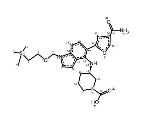 C[Si](C)(C)CCOCn1ccc2c(N[C@@H]3CCCN(C(=O)O)C3)c(-c3nc(C(N)=O)co3)cnc21